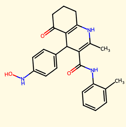 CC1=C(C(=O)Nc2ccccc2C)C(c2ccc(NO)cc2)C2=C(CCCC2=O)N1